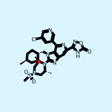 C[C@@H]1CN(S(C)(=O)=O)C[C@@H](C)N1c1nc2cc(-c3noc(=O)[nH]3)nc(-c3cncc(Cl)c3)c2n1C[C@H]1CC[C@H](C)CC1